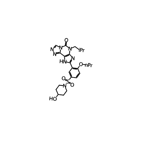 CCCOc1ccc(S(=O)(=O)N2CCC(O)CC2)cc1-c1nc2c([nH]1)c1nncn1c(=O)n2CC(C)C